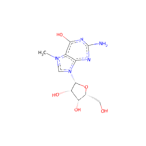 C[n+]1cn([C@@H]2O[C@H](CO)[C@H](O)[C@@H]2O)c2nc(N)nc(O)c21